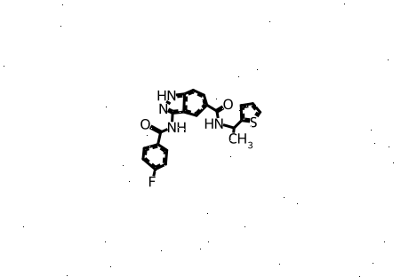 CC(NC(=O)c1ccc2[nH]nc(NC(=O)c3ccc(F)cc3)c2c1)c1cccs1